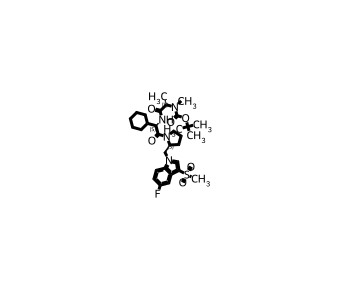 C[C@@H](C(=O)N[C@H](C(=O)N1CCC[C@H]1Cn1cc(S(C)(=O)=O)c2cc(F)ccc21)C1CCCCC1)N(C)C(=O)OC(C)(C)C